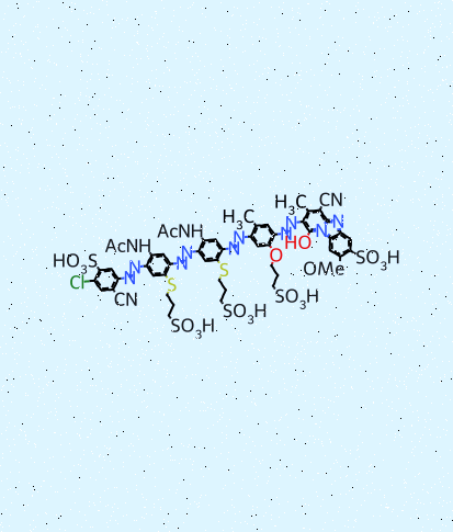 COc1cc2c(cc1S(=O)(=O)O)nc1c(C#N)c(C)c(N=Nc3cc(C)c(N=Nc4cc(NC(C)=O)c(N=Nc5cc(NC(C)=O)c(N=Nc6cc(S(=O)(=O)O)c(Cl)cc6C#N)cc5SCCCS(=O)(=O)O)cc4SCCCS(=O)(=O)O)cc3OCCCS(=O)(=O)O)c(O)n12